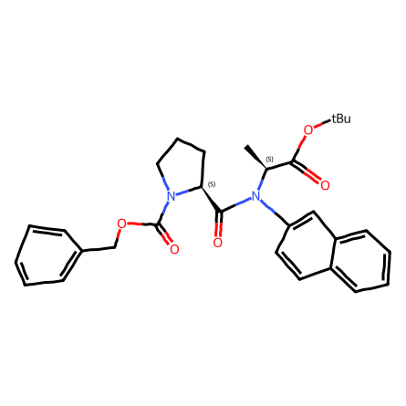 C[C@@H](C(=O)OC(C)(C)C)N(C(=O)[C@@H]1CCCN1C(=O)OCc1ccccc1)c1ccc2ccccc2c1